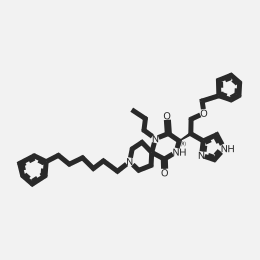 CCCN1C(=O)[C@@H](C(COCc2ccccc2)c2c[nH]cn2)NC(=O)C12CCN(CCCCCCc1ccccc1)CC2